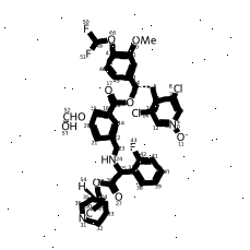 COc1cc([C@H](Cc2c(Cl)c[n+]([O-])cc2Cl)OC(=O)c2cccc(CNC(C(=O)O[C@H]3CN4CCC3CC4)c3ccccc3F)c2)ccc1OC(F)F.O=CO